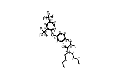 CCCCN(CCCC)C(=O)C(C)Oc1ccc(Oc2ncc(C(F)(F)F)cc2C(F)(F)F)cc1